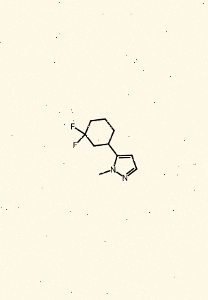 Cn1nccc1C1CCCC(F)(F)C1